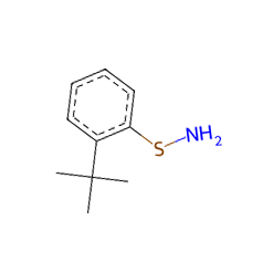 CC(C)(C)c1ccccc1SN